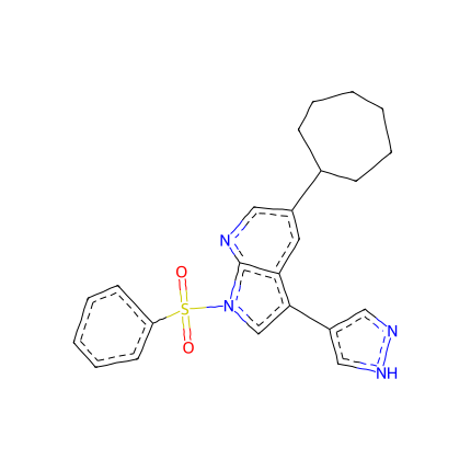 O=S(=O)(c1ccccc1)n1cc(-c2cn[nH]c2)c2cc(C3CCCCCC3)cnc21